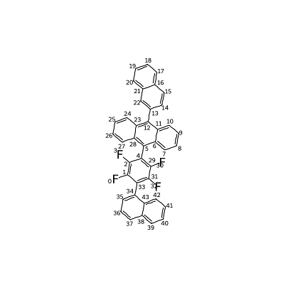 Fc1c(F)c(-c2c3ccccc3c(-c3ccc4ccccc4c3)c3ccccc23)c(F)c(F)c1-c1cccc2ccccc12